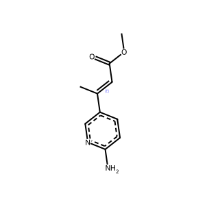 COC(=O)/C=C(\C)c1ccc(N)nc1